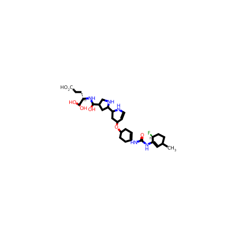 CC1C=C(NC(=O)NC2=CCC(OC3C=CNC(C4CC(C(O)N[C@@H](CCC(=O)O)C(O)O)CN4)C3)CC2)[C@@H](F)CC1